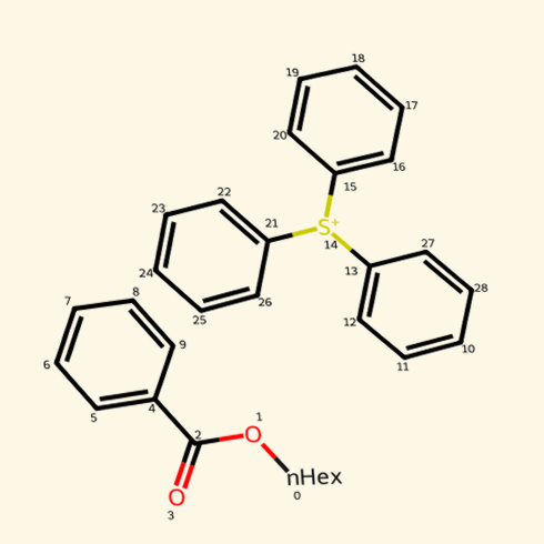 CCCCCCOC(=O)c1ccccc1.c1ccc([S+](c2ccccc2)c2ccccc2)cc1